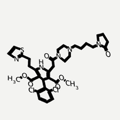 COC(=O)C1=C(CCc2nccs2)NC(CC(=O)N2CCN(CCCCN3CCCC3=O)CC2)=C(C(=O)OC)C1c1c(Cl)cccc1Cl